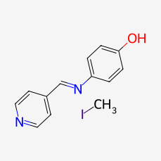 CI.Oc1ccc(N=Cc2ccncc2)cc1